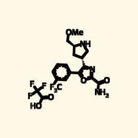 COC[C@@H]1C[C@@H](c2nc(C(N)=O)oc2-c2cccc(C(F)(F)F)c2)CN1.O=C(O)C(F)(F)F